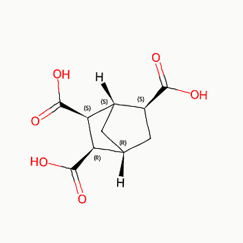 O=C(O)[C@@H]1[C@@H]2C[C@H]([C@@H]1C(=O)O)[C@@H](C(=O)O)C2